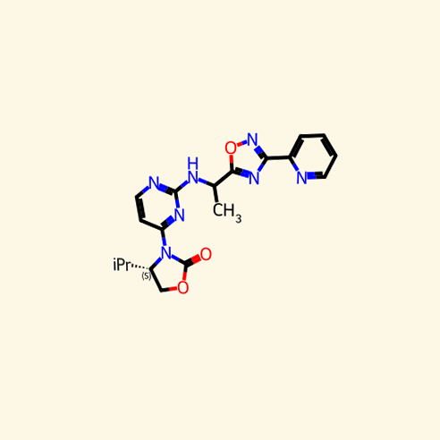 CC(Nc1nccc(N2C(=O)OC[C@@H]2C(C)C)n1)c1nc(-c2ccccn2)no1